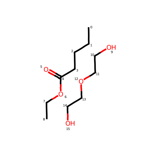 CCCCC(=O)OCC.OCCOCCO